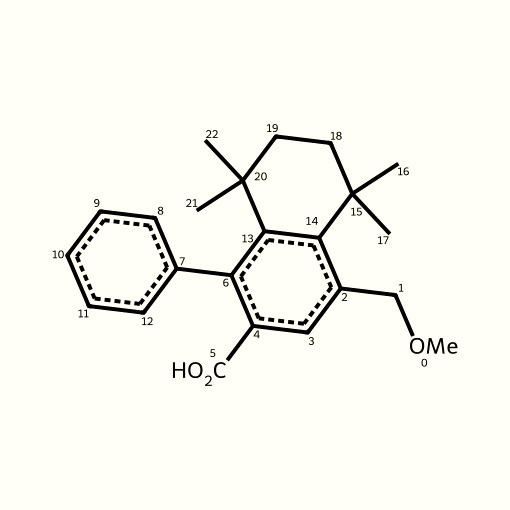 COCc1cc(C(=O)O)c(-c2ccccc2)c2c1C(C)(C)CCC2(C)C